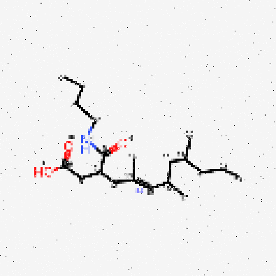 CCCCNC(=O)C(CC(=O)O)C/C(C)=C/C(C)CC(C)CCC